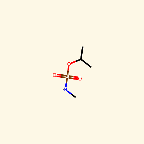 C[N]S(=O)(=O)OC(C)C